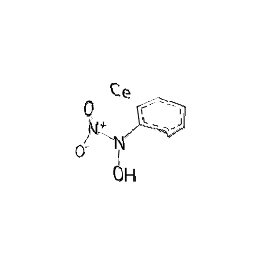 O=[N+]([O-])N(O)c1ccccc1.[Ce]